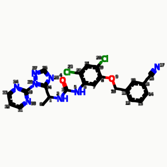 CC(NC(=O)Nc1cc(OCc2cccc(C#N)c2)c(Cl)cc1Cl)c1ncnn1-c1ncccn1